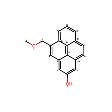 COCc1cc2cc(O)cc3ccc4cccc1c4c32